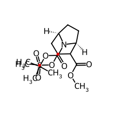 COC(=O)C1C(OS(C)(=O)=O)C[C@H]2CC[C@@H]1N2C(=O)OC(C)(C)C